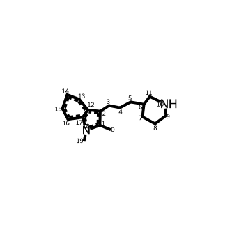 Cc1c(CCCC2CCCNC2)c2ccccc2n1C